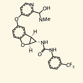 CNC(O)c1cc(Oc2ccc3c(c2)[C@H]2[C@H](NC(=O)Nc4cccc(C(F)(F)F)c4)[C@H]2O3)ccn1